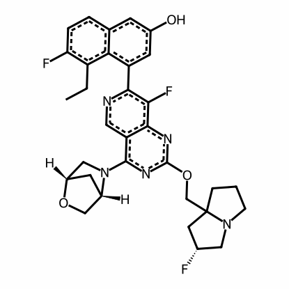 CCc1c(F)ccc2cc(O)cc(-c3ncc4c(N5C[C@@H]6C[C@H]5CO6)nc(OCC56CCCN5C[C@H](F)C6)nc4c3F)c12